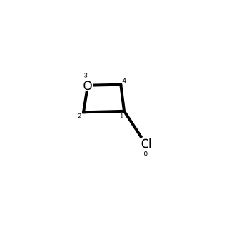 ClC1COC1